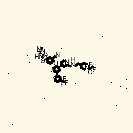 N#Cc1cc(S(=O)(=O)Nc2ncns2)ccc1Oc1ccc(-c2cccc(C(F)(F)F)c2)cc1-c1ccnc(CNCCC2CCN(C(=O)C(F)(F)F)CC2)c1